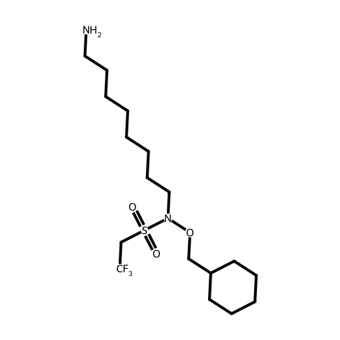 NCCCCCCCCN(OCC1CCCCC1)S(=O)(=O)CC(F)(F)F